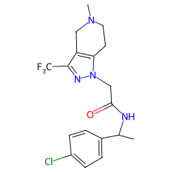 CC(NC(=O)Cn1nc(C(F)(F)F)c2c1CCN(C)C2)c1ccc(Cl)cc1